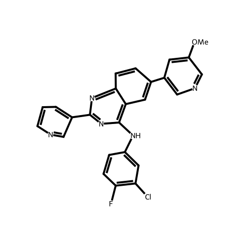 COc1cncc(-c2ccc3nc(-c4cccnc4)nc(Nc4ccc(F)c(Cl)c4)c3c2)c1